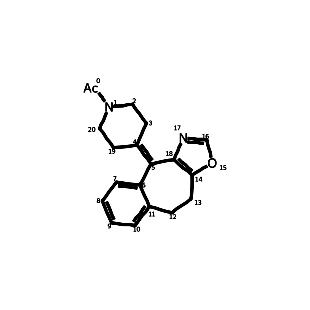 CC(=O)N1CCC(=C2c3ccccc3CCc3ocnc32)CC1